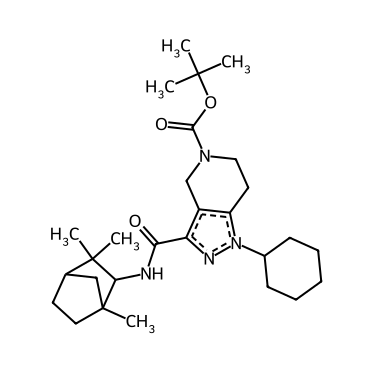 CC(C)(C)OC(=O)N1CCc2c(c(C(=O)NC3C4(C)CCC(C4)C3(C)C)nn2C2CCCCC2)C1